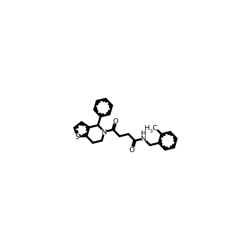 Cc1ccccc1CNC(=O)CCC(=O)N1CCc2sccc2C1c1ccccc1